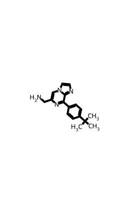 CC(C)(C)c1ccc(-c2nc(CN)cn3ccnc23)cc1